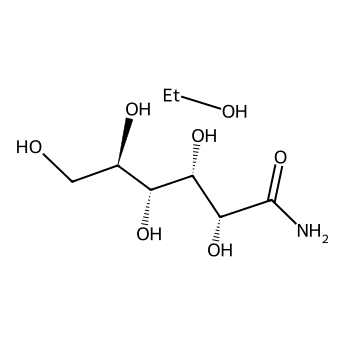 CCO.NC(=O)[C@H](O)[C@@H](O)[C@H](O)[C@H](O)CO